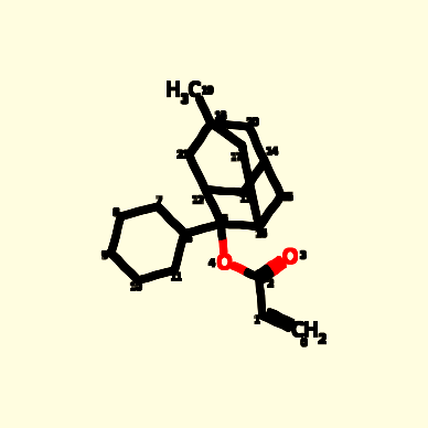 C=CC(=O)OC1(C2CCCCC2)C2CC3CC1CC(C)(C3)C2